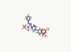 CC(C)(C)OC(=O)N(C=Cc1ccccc1)C1CCN(c2ccc3c(O)cc(=O)oc3c2)CC1